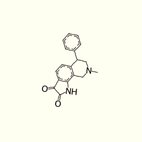 CN1Cc2c(ccc3c2NC(=O)C3=O)C(c2ccccc2)C1